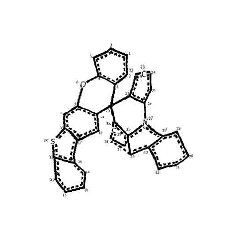 c1ccc2c(c1)Oc1cc3sc4ccccc4c3cc1C21c2ccccc2-n2c3ccccc3c3cccc1c32